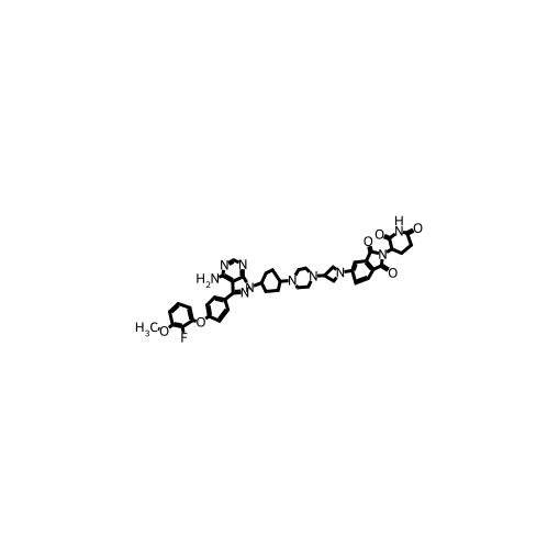 COc1cccc(Oc2ccc(-c3nn(C4CCC(N5CCN(C6CN(c7ccc8c(c7)C(=O)N(C7CCC(=O)NC7=O)C8=O)C6)CC5)CC4)c4ncnc(N)c34)cc2)c1F